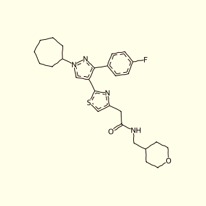 O=C(Cc1csc(-c2cn(C3CCCCCC3)nc2-c2ccc(F)cc2)n1)NCC1CCOCC1